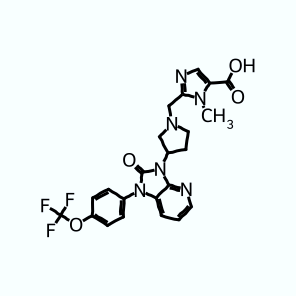 Cn1c(C(=O)O)cnc1CN1CCC(n2c(=O)n(-c3ccc(OC(F)(F)F)cc3)c3cccnc32)C1